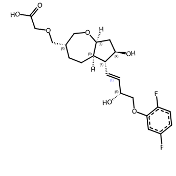 O=C(O)COC[C@H]1CC[C@@H]2[C@@H](/C=C/[C@@H](O)COc3cc(F)ccc3F)[C@H](O)C[C@@H]2OC1